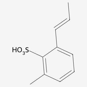 CC=Cc1cccc(C)c1S(=O)(=O)O